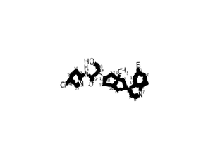 CC12CC(c3ccnc4ccc(F)cc34)CC1C[C@H](C(CO)C(=O)Nc1ccc(Cl)cn1)C2